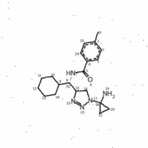 Cc1ccc(C(=O)N[C@@H](C2CCCCC2)C2CN(C3(N)CC3)N=N2)cc1